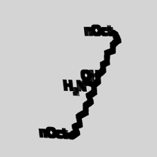 CCCCCCCC/C=C\CCCCCCCCC(CCCCCCCC/C=C\CCCCCCCC)C(N)O